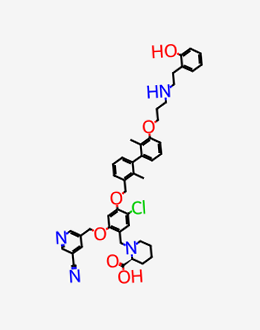 Cc1c(COc2cc(OCc3cncc(C#N)c3)c(CN3CCCC[C@H]3C(=O)O)cc2Cl)cccc1-c1cccc(OCCCNCCc2ccccc2O)c1C